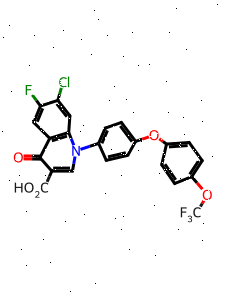 O=C(O)c1cn(-c2ccc(Oc3ccc(OC(F)(F)F)cc3)cc2)c2cc(Cl)c(F)cc2c1=O